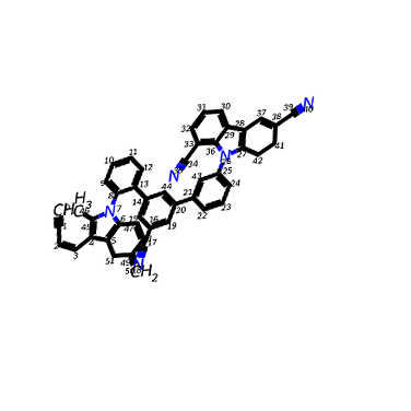 C#C/C=C\c1c2c(n(-c3ccccc3-c3cc(C#N)cc(-c4cccc(-n5c6c(c7cccc(C#N)c75)C=C(C#N)CC6)c4)c3)c1C)C=CC(=C)C2